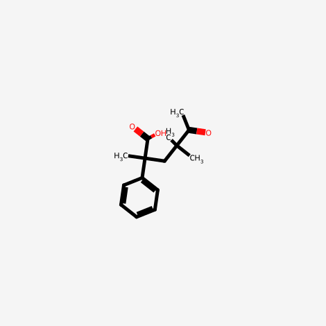 CC(=O)C(C)(C)CC(C)(C(=O)O)c1ccccc1